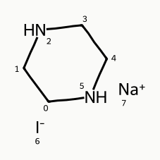 C1CNCCN1.[I-].[Na+]